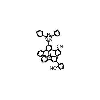 N#Cc1ccccc1-c1ccc2c(c1)c1ccccc1n2-c1c(-c2ccccc2C#N)cc(-c2nc(-c3ccccc3)nc(-c3ccccc3)n2)cc1-c1ccccc1C#N